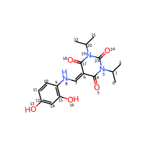 CC(C)N1C(=O)C(=CNc2ccc(O)cc2O)C(=O)N(C(C)C)C1=O